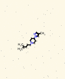 Cc1cnn(C2CCN(CCCC(C)C)CC2)c1